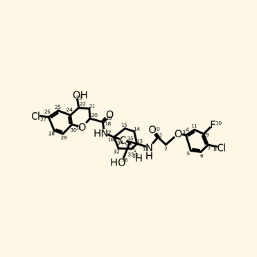 O=C(COc1ccc(Cl)c(F)c1)NC12CCC(NC(=O)C3CC(O)c4cc(Cl)ccc4O3)(CC1)C[C@@H]2O